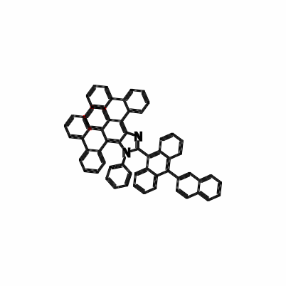 c1ccc(-c2ccccc2-c2c3ccccc3c(-c3ccccc3-c3ccccc3)c3c2nc(-c2c4ccccc4c(-c4ccc5ccccc5c4)c4ccccc24)n3-c2ccccc2)cc1